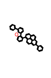 c1ccc(-c2cc3ccc4ccc(-c5cccc6oc7c(-c8ccccc8)cccc7c56)c5ccc(c2)c3c45)cc1